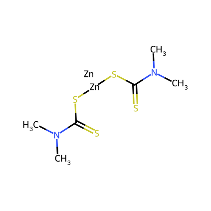 CN(C)C(=S)[S][Zn][S]C(=S)N(C)C.[Zn]